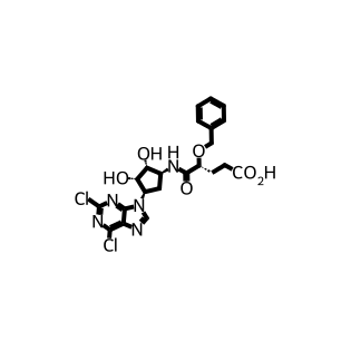 O=C(O)CC[C@@H](OCc1ccccc1)C(=O)N[C@H]1C[C@@H](n2cnc3c(Cl)nc(Cl)nc32)[C@H](O)[C@@H]1O